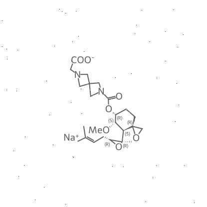 CO[C@@H]1[C@H](OC(=O)N2CC3(CN(CC(=O)[O-])C3)C2)CC[C@]2(CO2)[C@H]1[C@@]1(C)O[C@@H]1CC=C(C)C.[Na+]